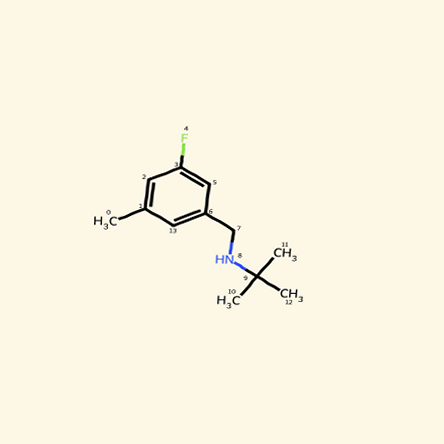 Cc1cc(F)cc(CNC(C)(C)C)c1